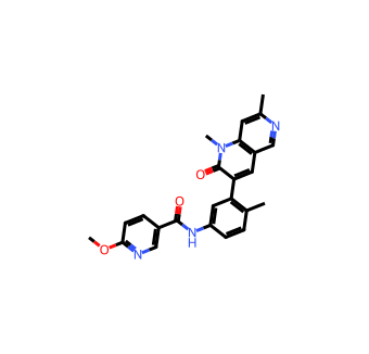 COc1ccc(C(=O)Nc2ccc(C)c(-c3cc4cnc(C)cc4n(C)c3=O)c2)cn1